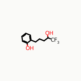 Oc1ccccc1CCCC(O)C(F)(F)F